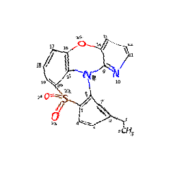 CCc1ccc2c(c1)N1c3ncccc3Oc3cccc(c31)S2(=O)=O